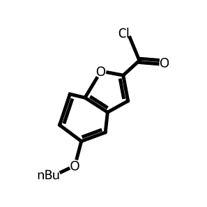 CCCCOc1ccc2oc(C(=O)Cl)cc2c1